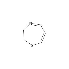 [C]1=C[C]=NCCS1